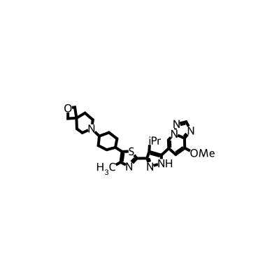 COc1cc(-c2[nH]nc(-c3nc(C)c(C4CCC(N5CCC6(CC5)COC6)CC4)s3)c2C(C)C)cn2ncnc12